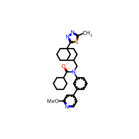 COc1cc(-c2cccc(N(CC3CCC4(c5nnc(C)s5)CCCC3C4)C(=O)C3CCCCC3)c2)ccn1